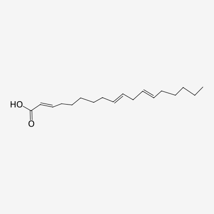 CCCCCC=CCC=CCCCCCC=CC(=O)O